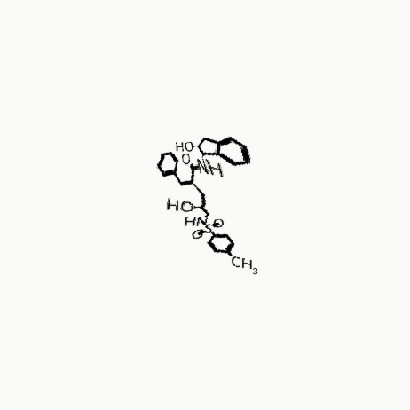 Cc1ccc(S(=O)(=O)NC[C@@H](O)C[C@@H](Cc2ccccc2)C(=O)N[C@H]2c3ccccc3C[C@H]2O)cc1